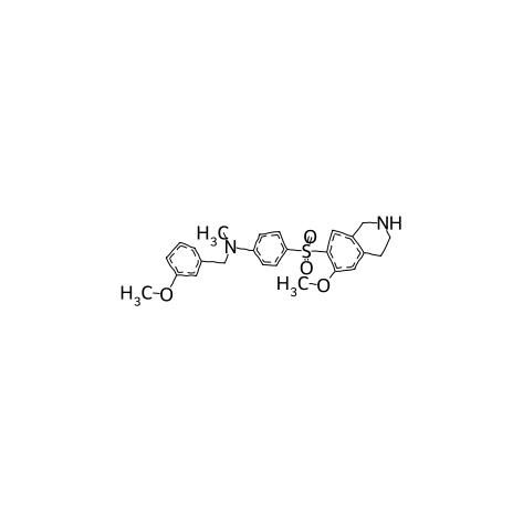 COc1cccc(CN(C)c2ccc(S(=O)(=O)c3cc4c(cc3OC)CCNC4)cc2)c1